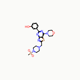 CS(=O)(=O)N1CCN(Cc2nc3nc(-c4cccc(O)c4)nc(N4CCOCC4)c3s2)CC1